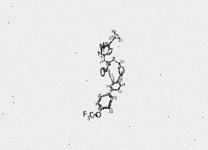 O=C1c2cc(-c3ccc(OC(F)(F)F)cc3)ccc2OCCN1Cc1nnc(C2CC2)o1